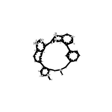 CN1Cc2cccc(c2)-c2cncc3[nH]c(nc23)-c2n[nH]c3ccc(cc23)-c2cnn(C)c2C1